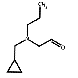 CCCN(CC=O)CC1CC1